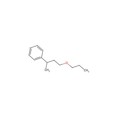 CCCOCCC(C)c1cc[c]cc1